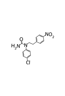 NC(=O)N(CCc1ccc([N+](=O)[O-])cc1)c1ccc(Cl)cc1